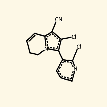 N#Cc1c(Cl)c(-c2cccnc2Cl)n2c1C=CCC2